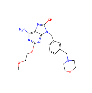 COCCOc1nc(N)c2nc(O)n(Cc3cccc(CN4CCOCC4)c3)c2n1